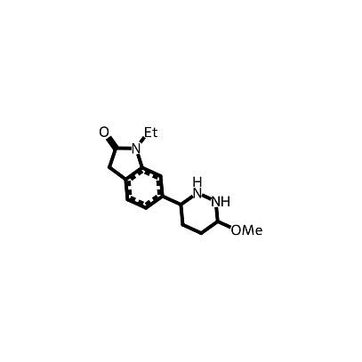 CCN1C(=O)Cc2ccc(C3CCC(OC)NN3)cc21